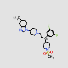 CC1CCc2c(ncn2C2CCN(CC[C@@H](c3cc(F)cc(F)c3)C3CCN(S(C)(=O)=O)CC3)CC2)C1